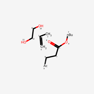 C=CC.CCCCOC(=O)CCC(C)=O.OCCO